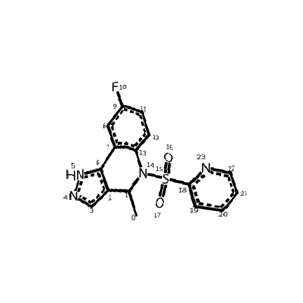 CC1c2cn[nH]c2-c2cc(F)ccc2N1S(=O)(=O)c1ccccn1